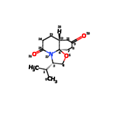 CC(C)[C@H]1CO[C@]23CCC(=O)C[C@H]2CCC(=O)N13